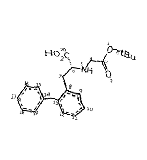 CC(C)(C)OC(=O)CN[C@H](Cc1ccccc1-c1ccccc1)C(=O)O